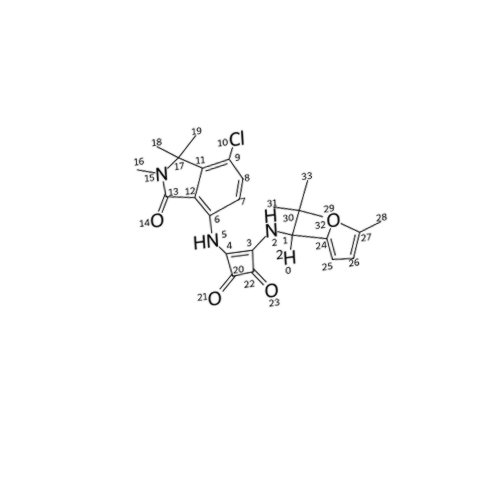 [2H]C(Nc1c(Nc2ccc(Cl)c3c2C(=O)N(C)C3(C)C)c(=O)c1=O)(c1ccc(C)o1)C(C)(C)C